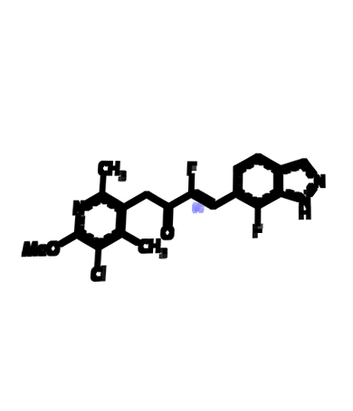 COc1nc(C)c(CC(=O)/C(F)=C/c2ccc3cn[nH]c3c2F)c(C)c1Cl